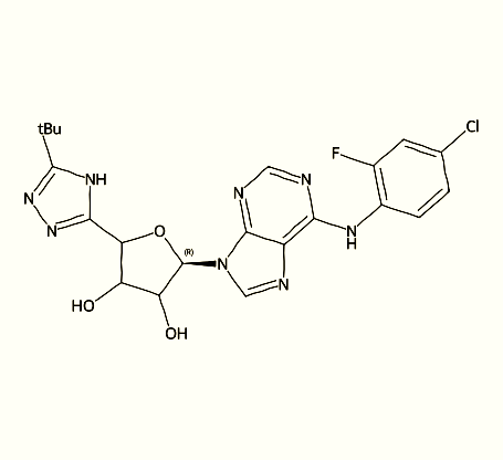 CC(C)(C)c1nnc(C2O[C@@H](n3cnc4c(Nc5ccc(Cl)cc5F)ncnc43)C(O)C2O)[nH]1